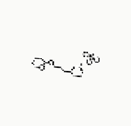 CS(=O)(=O)OCc1cccc(CCCOC2CCCCO2)c1